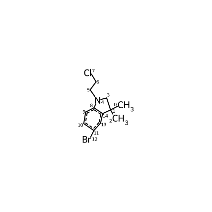 CC1(C)CN(CCCl)c2ccc(Br)cc21